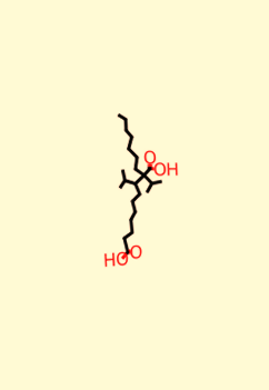 CCCCCCCC(C(=O)O)(C(C)C)C(CCCCCCC(=O)O)C(C)C